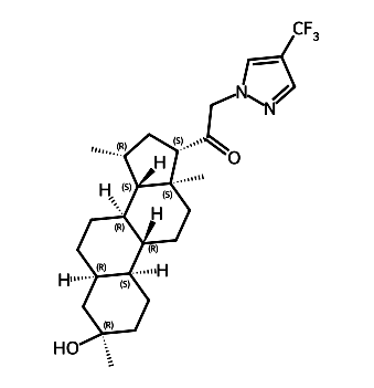 C[C@@H]1C[C@H](C(=O)Cn2cc(C(F)(F)F)cn2)[C@@]2(C)CC[C@H]3[C@@H](CC[C@@H]4C[C@](C)(O)CC[C@@H]43)[C@H]12